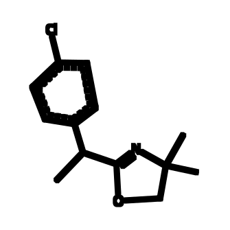 CC(C1=NC(C)(C)CO1)c1ccc(Cl)cc1